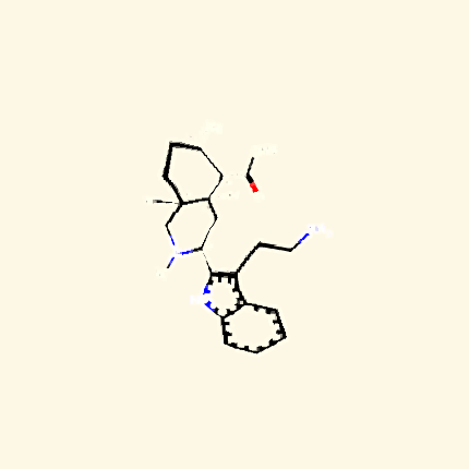 COC(=O)[C@@H]1[C@H]2C[C@@H](c3[nH]c4ccccc4c3CCN)N(C#N)C[C@@H]2CC[C@@H]1O